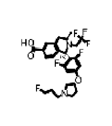 C[C@@H]1Cc2cc(C(=O)O)ccc2[C@@H](c2c(F)cc(OC3CCN(CCCF)C3)cc2F)N1CC(F)(F)F